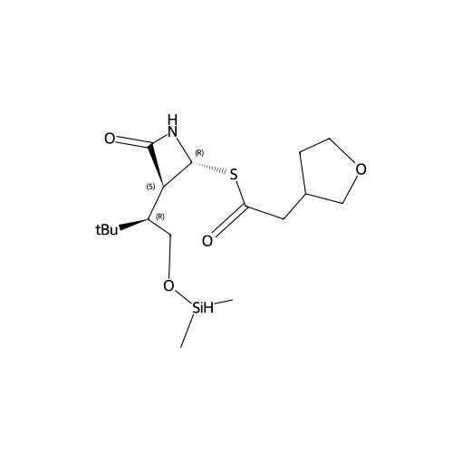 C[SiH](C)OC[C@H]([C@H]1C(=O)N[C@@H]1SC(=O)CC1CCOC1)C(C)(C)C